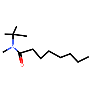 [CH2]CCCCCCC(=O)N(C)C(C)(C)C